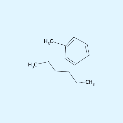 CCCCCC.Cc1ccccc1